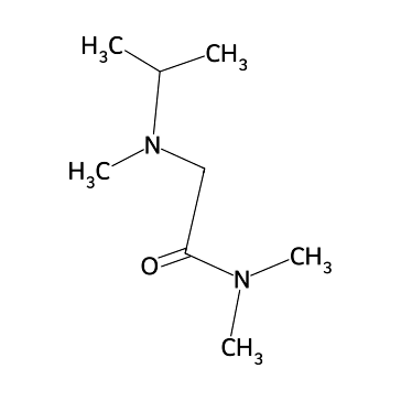 CC(C)N(C)CC(=O)N(C)C